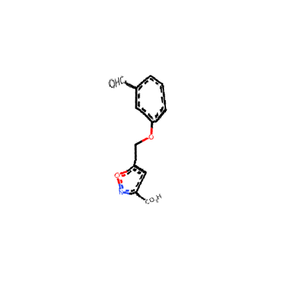 O=Cc1cccc(OCc2cc(C(=O)O)no2)c1